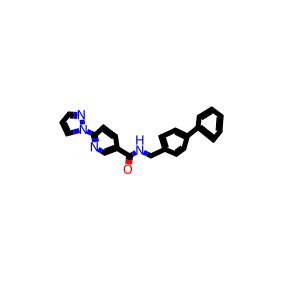 O=C(NCc1ccc(-c2ccccc2)cc1)c1ccc(-n2cccn2)nc1